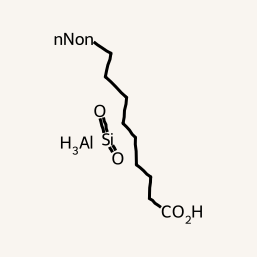 CCCCCCCCCCCCCCCCCC(=O)O.O=[Si]=O.[AlH3]